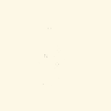 CC(C)(C)OC(=O)N(CCC=O)Cc1ccccc1